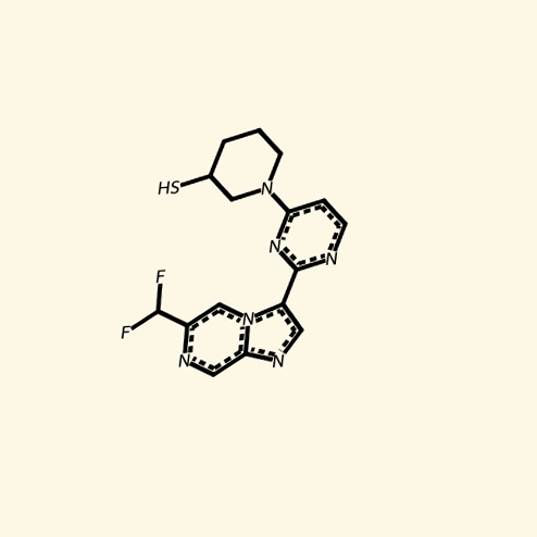 FC(F)c1cn2c(-c3nccc(N4CCCC(S)C4)n3)cnc2cn1